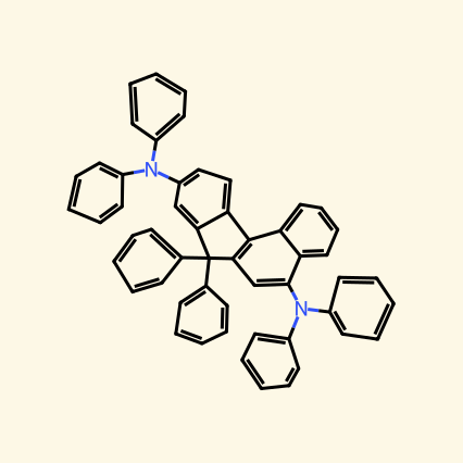 c1ccc(N(c2ccccc2)c2ccc3c(c2)C(c2ccccc2)(c2ccccc2)c2cc(N(c4ccccc4)c4ccccc4)c4ccccc4c2-3)cc1